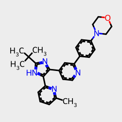 Cc1cccc(-c2[nH]c(C(C)(C)C)nc2-c2ccnc(-c3ccc(N4CCOCC4)cc3)c2)n1